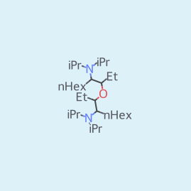 CCCCCCC(C(CC)OC(CC)C(CCCCCC)N(C(C)C)C(C)C)N(C(C)C)C(C)C